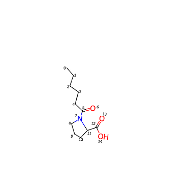 CCCCCC(=O)N1CCCC1C(=O)O